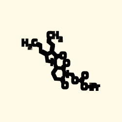 C=C/C=C1/CN(C2CCC(=O)N(COC(=O)OC(C)C)C2=O)C(=O)/C1=C/C=C